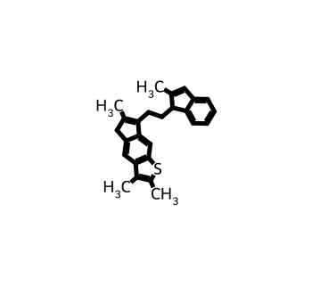 CC1=Cc2ccccc2C1CCC1=C(C)Cc2cc3c(C)c(C)sc3cc21